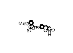 CCC(=O)O[C@@H](COc1ccc(CC2SC(=O)NC2=O)cc1)c1cccc(OC)c1